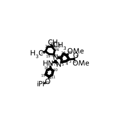 COC(=O)c1cc2nc(Nc3ccc(OC(C)C)cc3)n([C@@H]3CC(C)CC(C)(C)C3)c2cc1OC